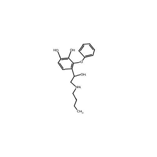 CCCCNCC(O)c1ccc(O)c(O)c1Oc1ccccc1